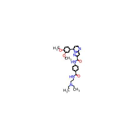 CCN(CC)CCNC(=O)c1ccc(NC(=O)c2cc3nccc(-c4ccc(OC)c(OC)c4)n3n2)cc1